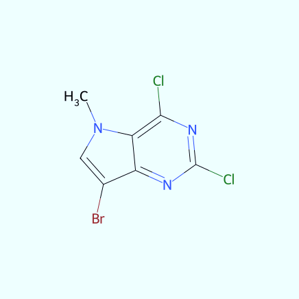 Cn1cc(Br)c2nc(Cl)nc(Cl)c21